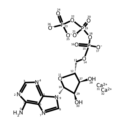 Nc1ncnc2c1ncn2[C@@H]1O[C@H](COP(=O)([O-])OP(=O)([O-])OP(=O)([O-])[O-])[C@@H](O)[C@H]1O.[Ca+2].[Ca+2]